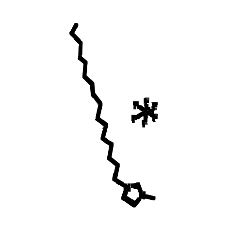 CCCCCCCCCCCCCCCC[n+]1ccn(C)c1.[F][Sb-]([F])([F])([F])([F])[F]